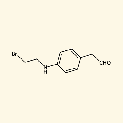 O=CCc1ccc(NCCBr)cc1